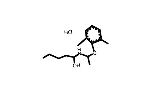 CCCCC(O)NC(C)Oc1c(C)cccc1C.Cl